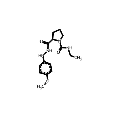 CCNC(=O)N1CCCC1C(=O)NNc1ccc(OC)cc1